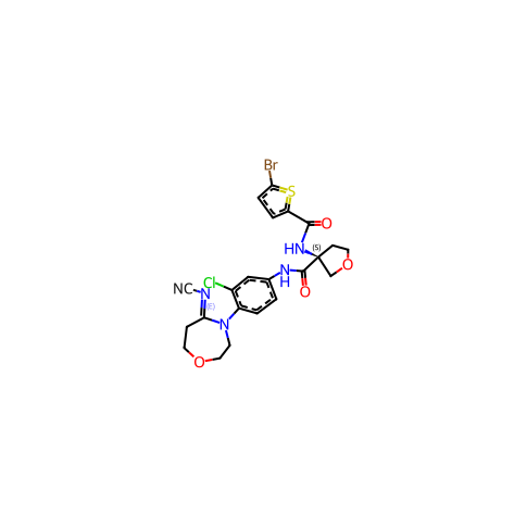 N#C/N=C1\CCOCCN1c1ccc(NC(=O)[C@]2(NC(=O)c3ccc(Br)s3)CCOC2)cc1Cl